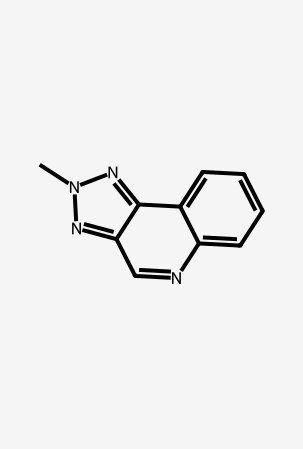 Cn1nc2cnc3ccccc3c2n1